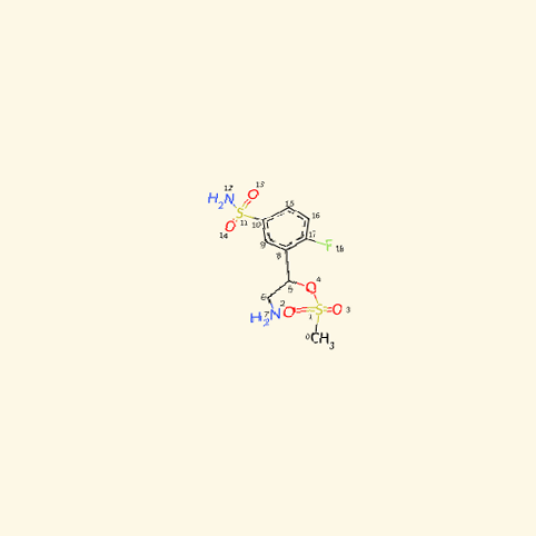 CS(=O)(=O)OC(CN)c1cc(S(N)(=O)=O)ccc1F